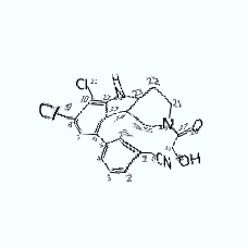 N#Cc1cccc(-c2cc(Cl)c(Cl)c3c2C2CN(C(=O)CO)CCC2N3)c1